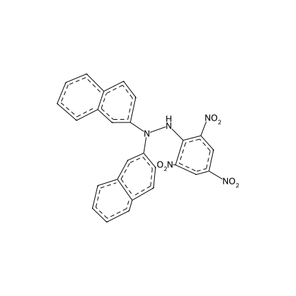 O=[N+]([O-])c1cc([N+](=O)[O-])c(NN(c2ccc3ccccc3c2)c2ccc3ccccc3c2)c([N+](=O)[O-])c1